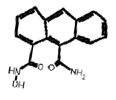 NC(=O)c1c2ccccc2cc2cccc(C(=O)NO)c12